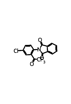 O=C1c2ccccc2C(=O)N1c1ccc(Cl)cc1C(=O)C(F)(F)F